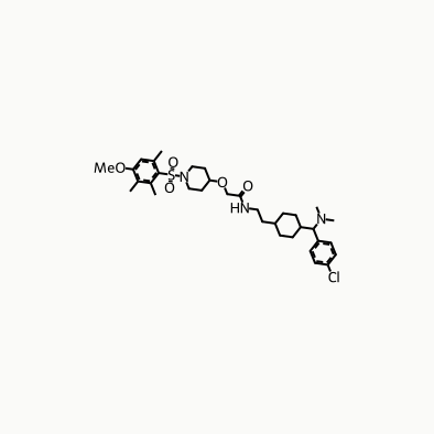 COc1cc(C)c(S(=O)(=O)N2CCC(OCC(=O)NCCC3CCC(C(c4ccc(Cl)cc4)N(C)C)CC3)CC2)c(C)c1C